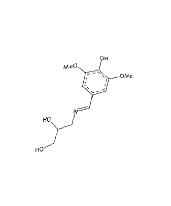 COc1cc(C=NCC(O)CO)cc(OC)c1O